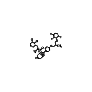 C[C@@H](COc1ccc(C2=C(C(=O)N(Cc3cccc(Cl)c3Cl)C3CC3)[C@@H]3CNCC(C2)N3)cc1)COc1c(F)ccc(F)c1F